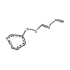 C=NN=CSSc1cccnc1